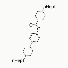 CCCCCCCC1CCC(C(=O)Oc2ccc(C3CCC(CCCCCCC)CC3)cc2)CC1